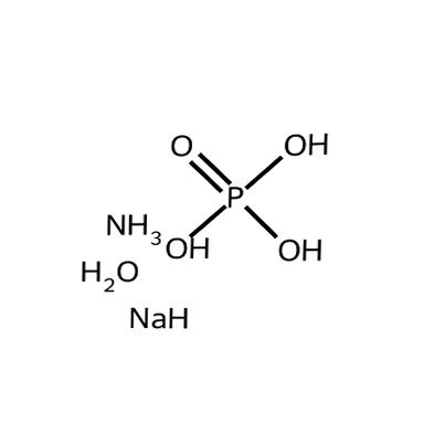 N.O.O=P(O)(O)O.[NaH]